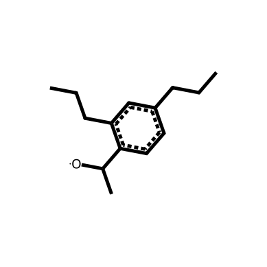 CCCc1ccc(C(C)[O])c(CCC)c1